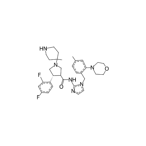 Cc1ccc(Cn2ccnc2NC(=O)C2CN(C3(C)CCNCC3)C[C@H]2c2ccc(F)cc2F)c(N2CCOCC2)c1